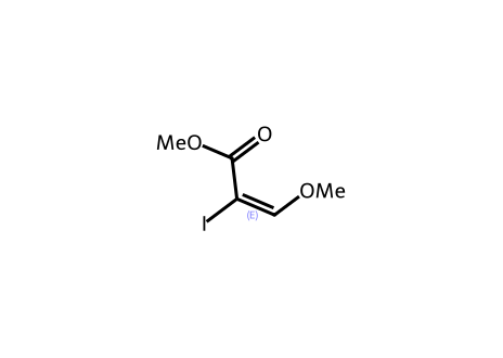 CO/C=C(/I)C(=O)OC